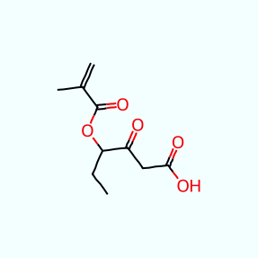 C=C(C)C(=O)OC(CC)C(=O)CC(=O)O